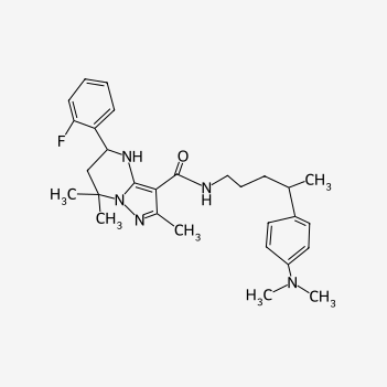 Cc1nn2c(c1C(=O)NCCCC(C)c1ccc(N(C)C)cc1)NC(c1ccccc1F)CC2(C)C